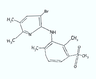 Cc1cc(Br)c(Nc2c(C)ccc(S(C)(=O)=O)c2C)nc1C